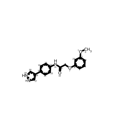 COc1cccc(OCC(=O)Nc2ccc(-c3cn[nH]c3)cc2)c1